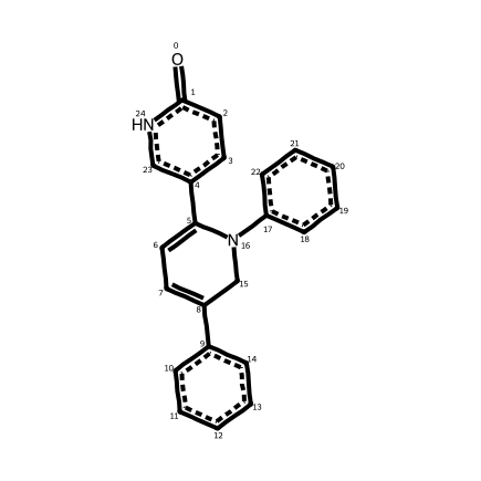 O=c1ccc(C2=CC=C(c3ccccc3)CN2c2ccccc2)c[nH]1